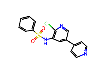 O=S(=O)(Nc1cc(-c2ccncc2)cnc1Cl)c1ccccc1